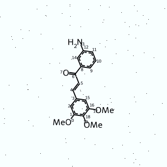 COc1cc(/C=C/C(=O)c2cccc(N)c2)cc(OC)c1OC